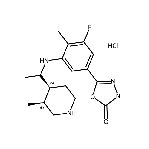 Cc1c(F)cc(-c2n[nH]c(=O)o2)cc1NC(C)[C@H]1CCNC[C@H]1C.Cl